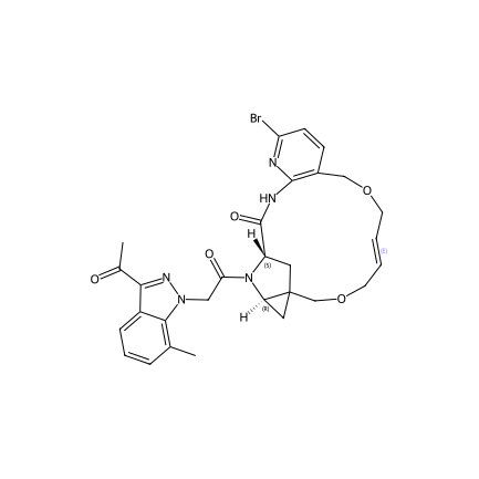 CC(=O)c1nn(CC(=O)N2[C@H]3CC4(COC/C=C/COCc5ccc(Br)nc5NC3=O)C[C@@H]24)c2c(C)cccc12